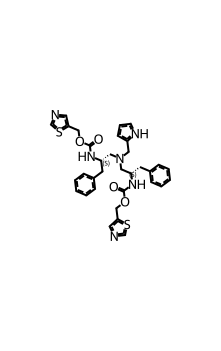 O=C(N[C@@H](Cc1ccccc1)CN(Cc1ccc[nH]1)C[C@H](Cc1ccccc1)NC(=O)OCc1cncs1)OCc1cncs1